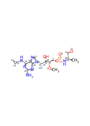 CO[C@H](CO[PH](=O)N[C@H](C)C=O)[C@@H](O)[C@H](F)n1cnc2c(NC3CC3)nc(N)nc21